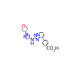 O=C(O)c1ccc(-c2cccn3nc(Nc4cnn(C5CCOCC5)c4)nc23)cc1